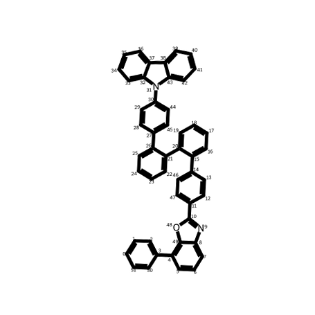 c1ccc(-c2cccc3nc(-c4ccc(-c5ccccc5-c5ccccc5-c5ccc(-n6c7ccccc7c7ccccc76)cc5)cc4)oc23)cc1